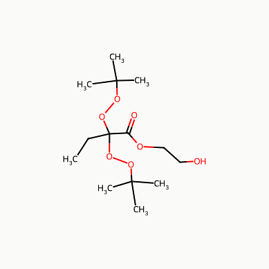 CCC(OOC(C)(C)C)(OOC(C)(C)C)C(=O)OCCO